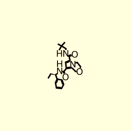 CC[C@@H](NC(=O)c1cc(C(=O)NCC(C)(C)C)n2c1COCC2)c1ccccc1